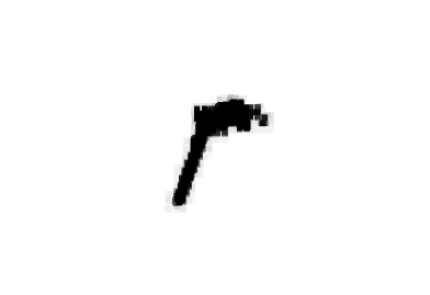 CCCCCCCCCCCCCCCCOCCCOP(=O)(O)OC[C@H]1O[C@@H](n2cc(C#N)c3c(N)ncnc32)[C@H](O)[C@@H]1O